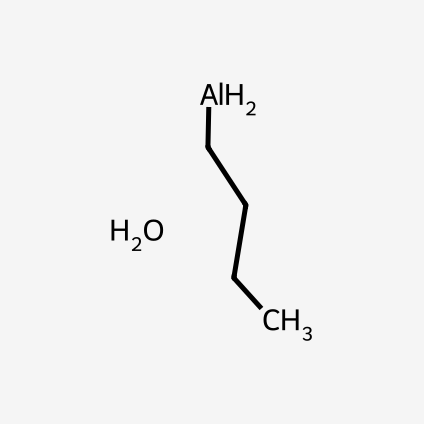 CCC[CH2][AlH2].O